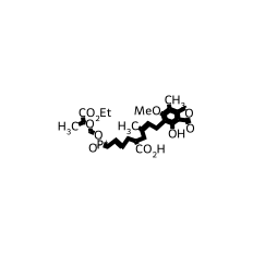 CCOC(=O)C(C)OCO[P+]([O-])=CC=CCC(CC(C)=CCc1c(O)c2c(c(C)c1OC)COC2=O)C(=O)O